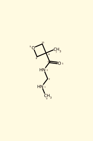 CNCNC(=O)C1(C)COC1